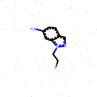 Nc1ccc2cnn(CCF)c2c1